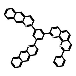 c1ccc(-c2ccc3ccc4ccc(-c5cc(-c6ccc7cc8ccccc8cc7n6)cc(-c6ccc7cc8ccccc8cc7n6)c5)nc4c3n2)cc1